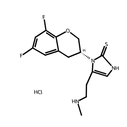 CNCCc1c[nH]c(=S)n1[C@H]1COc2c(F)cc(F)cc2C1.Cl